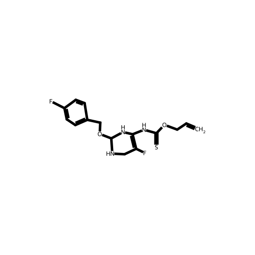 C=CCOC(=S)NC1=C(F)CNC(OCc2ccc(F)cc2)N1